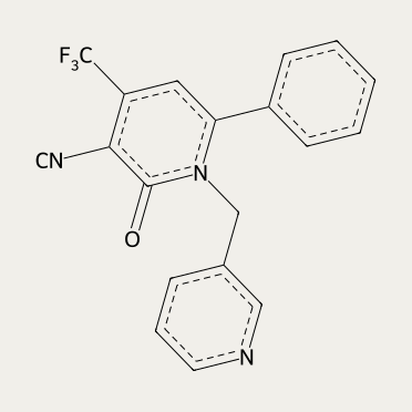 [C-]#[N+]c1c(C(F)(F)F)cc(-c2ccccc2)n(Cc2cccnc2)c1=O